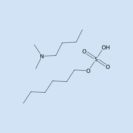 CCCCCCOS(=O)(=O)O.CCCCN(C)C